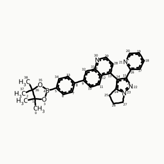 CC1(C)OB(c2ccc(-c3ccc4c(-c5c(-c6ccccn6)nn6c5CCC6)ccnc4c3)cc2)OC1(C)C